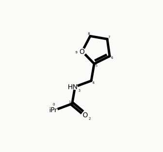 CC(C)C(=O)NCC1=CCCO1